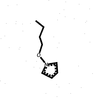 CCCCOn1cccc1